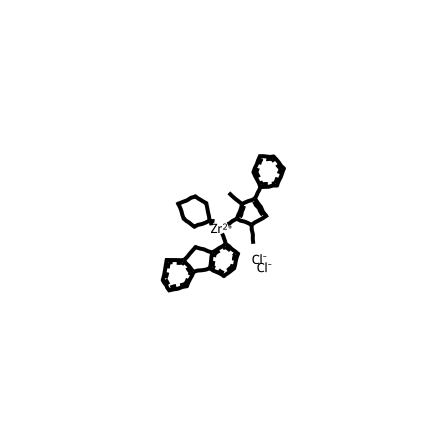 CC1=[C]([Zr+2](=[C]2CCCCC2)[c]2cccc3c2Cc2ccccc2-3)C(C)C=C1c1ccccc1.[Cl-].[Cl-]